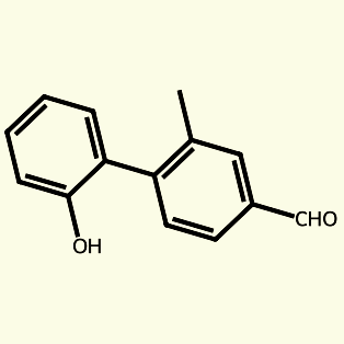 Cc1cc(C=O)ccc1-c1ccccc1O